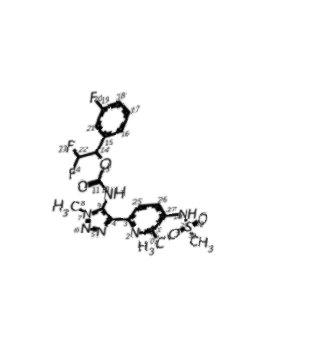 Cc1nc(-c2nnn(C)c2NC(=O)OC(c2cccc(F)c2)C(F)F)ccc1NS(C)(=O)=O